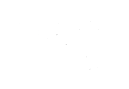 CC(=O)NCc1ccc(OC(C)=O)c(OC(C)=O)c1